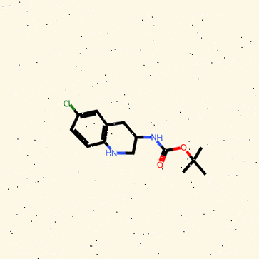 CC(C)(C)OC(=O)NC1CNc2ccc(Cl)cc2C1